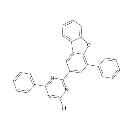 Clc1nc(-c2ccccc2)nc(-c2cc(-c3ccccc3)c3oc4ccccc4c3c2)n1